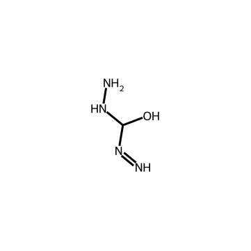 N=NC(O)NN